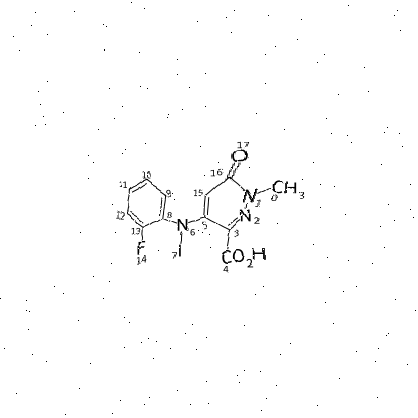 Cn1nc(C(=O)O)c(N(I)c2ccccc2F)cc1=O